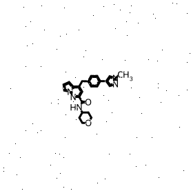 Cn1cc(-c2ccc(Cc3cc(C(=O)NC4CCOCC4)nn4cccc34)cc2)cn1